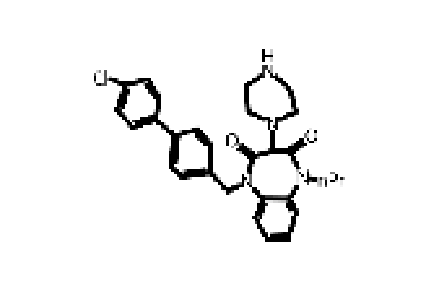 CCCN1C(=O)C(N2CCNCC2)C(=O)N(Cc2ccc(-c3ccc(Cl)cc3)cc2)c2ccccc21